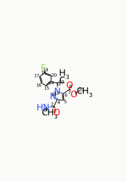 CNC(=O)c1cc(C(=O)OC)n(C(C)c2cccc(F)c2)n1